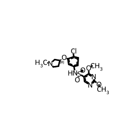 COc1ncc(S(=O)(=O)Nc2ccc(Cl)c(O[C@@H]3CCN(C)C3)c2)c(OC)n1